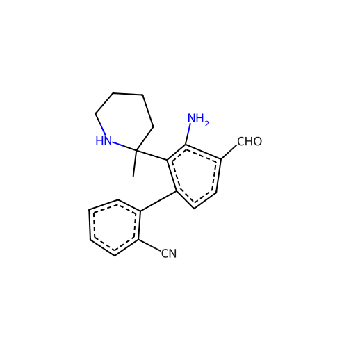 CC1(c2c(-c3ccccc3C#N)ccc(C=O)c2N)CCCCN1